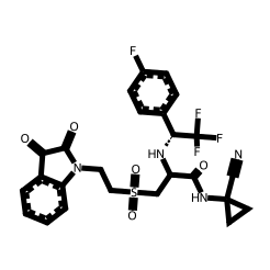 N#CC1(NC(=O)C(CS(=O)(=O)CCN2C(=O)C(=O)c3ccccc32)N[C@H](c2ccc(F)cc2)C(F)(F)F)CC1